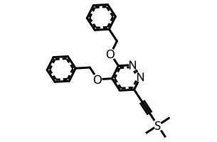 CS(C)(C)C#Cc1cc(OCc2ccccc2)c(OCc2ccccc2)nn1